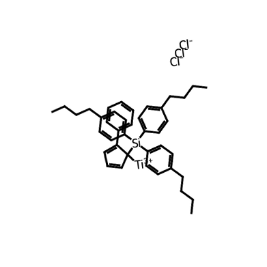 CCCCc1ccc([Si](c2ccc(CCCC)cc2)(c2ccc(CCCC)cc2)[C]2([Ti+3])C=CC=C2c2ccccc2)cc1.[Cl-].[Cl-].[Cl-]